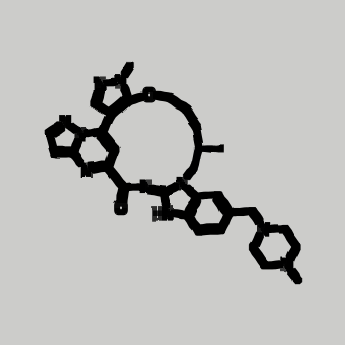 C[C@@H]1CCCOc2c(cnn2C)-c2cc(nc3ccnn23)C(=O)/N=C2\Nc3ccc(CN4CCN(C)CC4)cc3N2C1